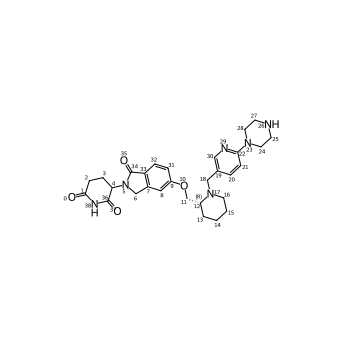 O=C1CCC(N2Cc3cc(OC[C@H]4CCCCN4Cc4ccc(N5CCNCC5)nc4)ccc3C2=O)C(=O)N1